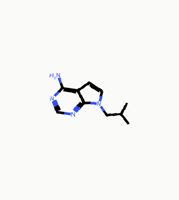 CC(C)Cn1ccc2c(N)ncnc21